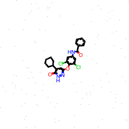 O=C(Nc1cc(Cl)c(Oc2cc(C3CCCCC3)c(=O)[nH]n2)c(Cl)c1)c1ccccc1